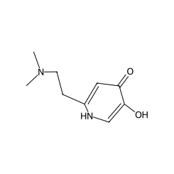 CN(C)CCc1cc(=O)c(O)c[nH]1